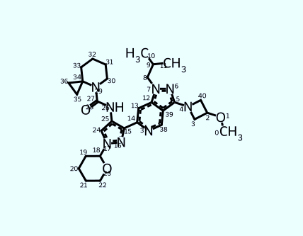 COC1CN(c2nn(CC(C)C)c3cc(-c4nn(C5CCCCO5)cc4NC(=O)N4CCCCC45CC5)ncc23)C1